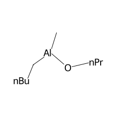 CCCC[CH2][Al]([CH3])[O]CCC